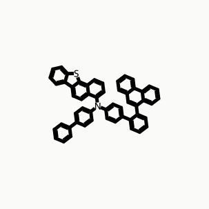 c1ccc(-c2ccc(N(c3ccc(-c4ccccc4-c4cc5ccccc5c5ccccc45)cc3)c3cccc4c3ccc3c5ccccc5sc43)cc2)cc1